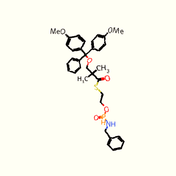 COc1ccc(C(OCC(C)(C)C(=O)SCCO[PH](=O)NCc2ccccc2)(c2ccccc2)c2ccc(OC)cc2)cc1